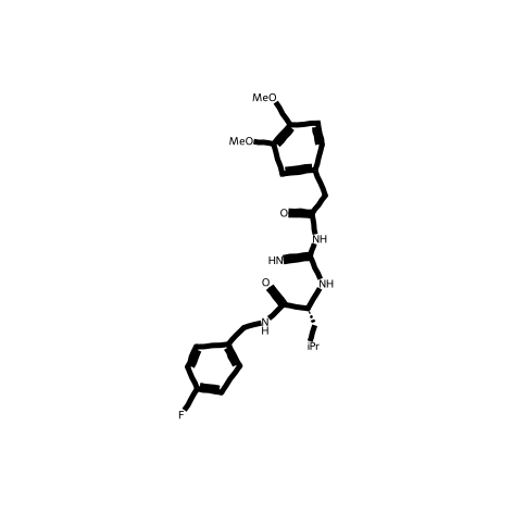 COc1ccc(CC(=O)NC(=N)N[C@H](CC(C)C)C(=O)NCc2ccc(F)cc2)cc1OC